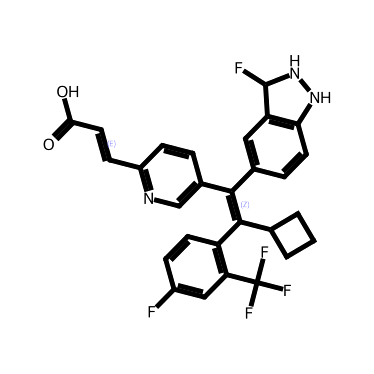 O=C(O)/C=C/c1ccc(/C(=C(\c2ccc(F)cc2C(F)(F)F)C2CCC2)c2ccc3c(c2)C(F)NN3)cn1